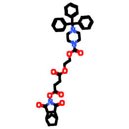 O=C(CCC(=O)ON1C(=O)C2C3CCC(C3)C2C1=O)OCCOC(=O)N1CCN(C(c2ccccc2)(c2ccccc2)c2ccccc2)CC1